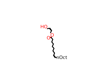 CCCCCCCC/C=C\CCCCCCCC(=O)OC/C=C\CO